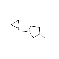 CC(C)[C@@H]1CCN(SC2CC2)C1